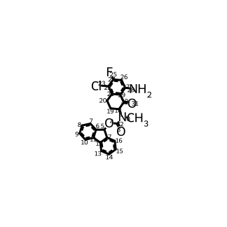 CN(C(=O)OC1c2ccccc2-c2ccccc21)C1CCc2c(Cl)c(F)cc(N)c2C1=O